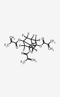 C=C(C(=O)OC12C(F)(F)C3(F)C(F)(F)C(OC(=O)C(=C)C(F)(F)F)(C1(F)F)C(F)(F)C(OC(=O)C(=C)C(F)(F)F)(C3(F)F)C2(F)F)C(F)(F)F